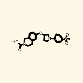 CS(=O)(=O)c1ccc(N2CCC(Oc3ccc4c(c3)CCN(C(=O)O)C4)C2)cc1